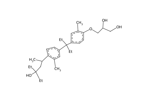 CCC(O)(CC)CC(C)c1ccc(C(CC)(CC)c2ccc(OCC(O)CO)c(C)c2)cc1C